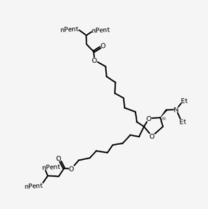 CCCCCC(CCCCC)CC(=O)OCCCCCCCCC1(CCCCCCCCOC(=O)CC(CCCCC)CCCCC)OC[C@H](CN(CC)CC)O1